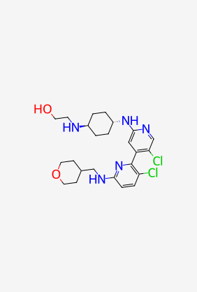 OCCN[C@H]1CC[C@H](Nc2cc(-c3nc(NCC4CCOCC4)ccc3Cl)c(Cl)cn2)CC1